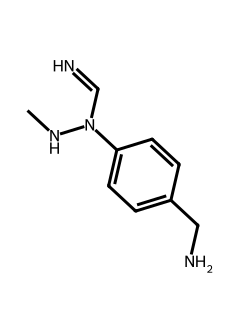 CNN(C=N)c1ccc(CN)cc1